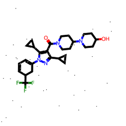 O=C(c1c(C2CC2)nn(C2=CC=CC(C(F)(F)F)C2)c1C1CC1)N1CCC(N2CCC(O)CC2)CC1